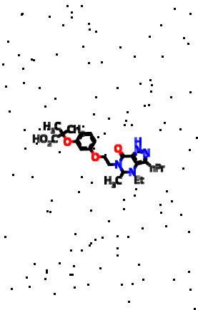 CCCc1n[nH]c2c1N(CC)C(C)N(CCOc1cccc(OC(C)(C)C(=O)O)c1)C2=O